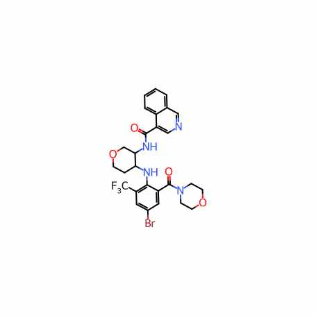 O=C(NC1COCCC1Nc1c(C(=O)N2CCOCC2)cc(Br)cc1C(F)(F)F)c1cncc2ccccc12